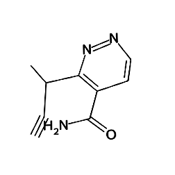 C#CC(C)c1nnccc1C(N)=O